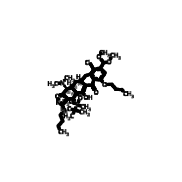 CCCCOc1cc(C(OC)OC)c(Cl)c2c1C(=O)C1=C(O)[C@]3(O[Si](C)(C)C(C)(C)C)C(=O)c4c(OCCCC)noc4[C@@H](N(C)C)[C@@H]3C[C@@H]1C2